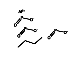 CCCC.O=P[O-].O=P[O-].O=P[O-].[Al+3]